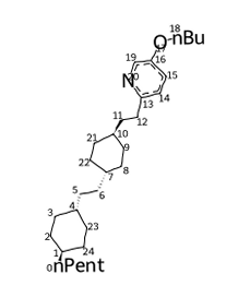 CCCCC[C@H]1CC[C@H](CC[C@H]2CC[C@H](CCc3ccc(OCCCC)cn3)CC2)CC1